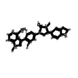 CN1C(=O)N(c2ccc(-c3cn(C)c4ncnc(N)c34)c(F)c2)CC1C1C=CC2OCCC2=C1